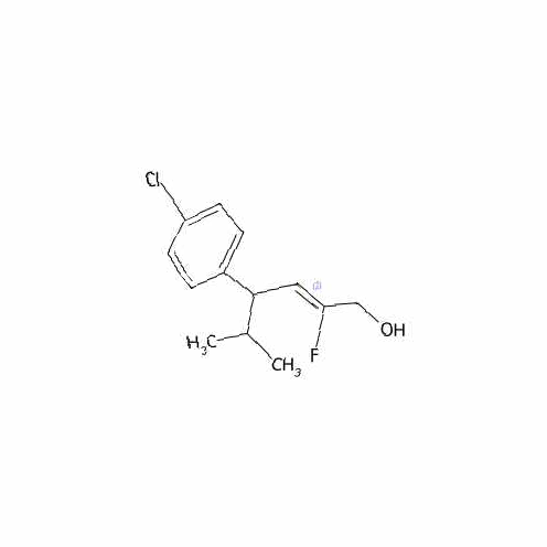 CC(C)C(/C=C(\F)CO)c1ccc(Cl)cc1